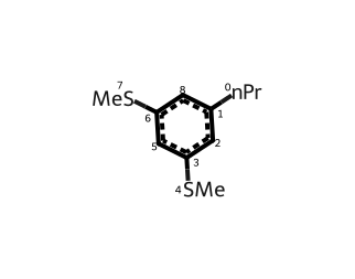 CCCc1cc(SC)cc(SC)c1